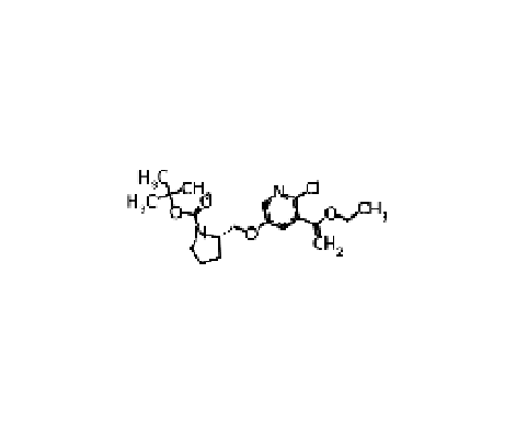 C=C(OCC)c1cc(OC[C@@H]2CCCN2C(=O)OC(C)(C)C)cnc1Cl